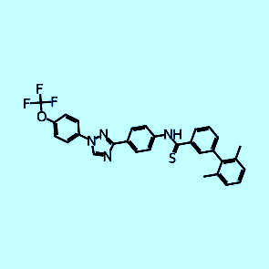 Cc1cccc(C)c1-c1cccc(C(=S)Nc2ccc(-c3ncn(-c4ccc(OC(F)(F)F)cc4)n3)cc2)c1